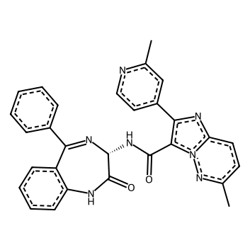 Cc1cc(-c2nc3ccc(C)nn3c2C(=O)N[C@H]2N=C(c3ccccc3)c3ccccc3NC2=O)ccn1